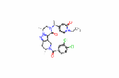 C[C@@H]1Cc2nn3c(c2CN1C(=O)c1ccc(Cl)c(Cl)c1)C(=O)N([C@@H](C)c1ccn(CC(F)(F)F)c(=O)c1)C[C@H]3C